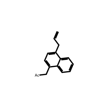 C=CCc1ccc(CC(C)=O)c2ccccc12